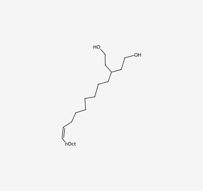 CCCCCCCC/C=C\CCCCCCCC(CCO)CCO